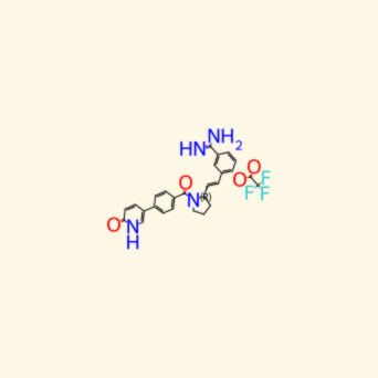 N=C(N)c1ccc(OC(=O)C(F)(F)F)c(C=C[C@H]2CCCN2C(=O)c2ccc(-c3ccc(=O)[nH]c3)cc2)c1